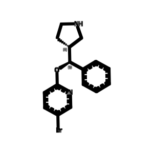 Brc1ccc(O[C@H](c2ccccc2)[C@@H]2CCNC2)nc1